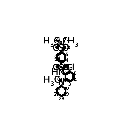 CN(c1cccc(Cl)c1NS(=O)(=O)c1ccc(S(=O)(=O)N(C)C)cc1)C1CCCCC1